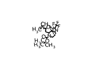 CN(C)C(=O)CC1c2nc(C(F)(F)F)nn2CCN1C(=O)OC(C)(C)C